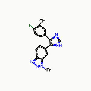 Cc1cc(-c2nc[nH]c2-c2ccc3nnn(C(C)C)c3c2)ccc1F